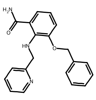 NC(=O)c1cccc(OCc2ccccc2)c1NCc1ccccn1